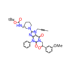 CC#CCn1c(N2CCC[C@@H](NC(=O)OC(C)(C)C)C2)nc2c1c(=O)n(CC(=O)c1cccc(OC)c1)c(=O)n2-c1ccccc1